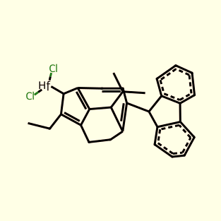 CCC1=C2CCC3=C(C4c5ccccc5-c5ccccc54)C=CC(=C2C3C(C)C)[CH]1[Hf]([Cl])[Cl]